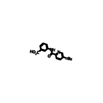 CCCCc1ccc(C(=O)Nc2cccc(C(=O)O)c2)nc1